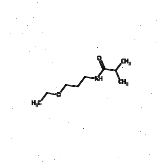 CCOCCCNC(=O)C(C)C